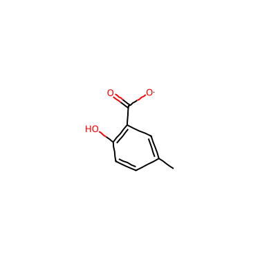 Cc1ccc(O)c(C([O])=O)c1